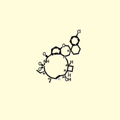 CC[C@@H]1C[C@H](C)/C=C/[C@H](O)[C@@H]2CC[C@H]2CN2C[C@@]3(CCCc4cc(Cl)ccc43)COc3ccc(cc32)C(=O)NS1(=O)=O